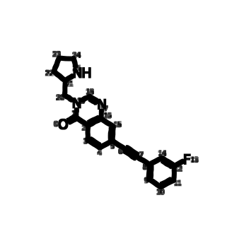 O=c1c2ccc(C#Cc3cccc(F)c3)cc2ncn1CC1CCCN1